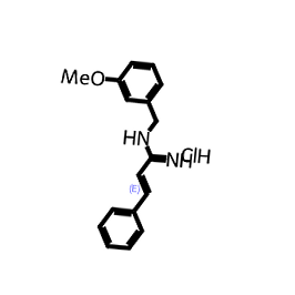 COc1cccc(CNC(=N)/C=C/c2ccccc2)c1.Cl